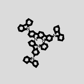 c1ccc2c(c1)c1ccccc1n2-c1ccc2c(c1)c1cccc3c1n2c1ccccc1n1c2ccc(-n4c5ccccc5c5ccccc54)cc2c2ccc4c5cc(-n6c7ccccc7c7ccccc76)ccc5n3c4c21